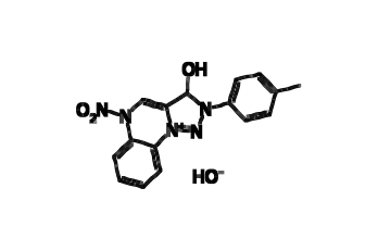 Cc1ccc(N2N=[N+]3C(=CN([N+](=O)[O-])c4ccccc43)C2O)cc1.[OH-]